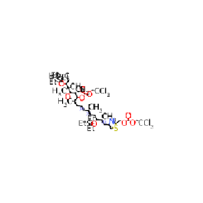 CC[Si](CC)(CC)OC(C/C=C(C)/C=C/CC(C)C(OC(=O)OCC(Cl)(Cl)Cl)C(C)C(=O)C(C)(C)C(CC(=O)O)O[Si](CC)(CC)CC)/C(C)=C/c1csc(COC(=O)OCC(Cl)(Cl)Cl)n1